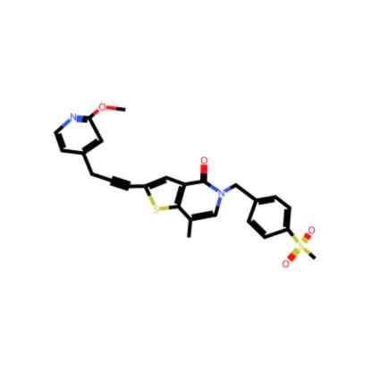 COc1cc(CC#Cc2cc3c(=O)n(Cc4ccc(S(C)(=O)=O)cc4)cc(C)c3s2)ccn1